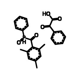 Cc1cc(C)c(C(=O)[PH](=O)c2ccccc2)c(C)c1.O=C(O)C(=O)c1ccccc1